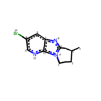 CC1CCn2c1nc1cc(Br)cnc12